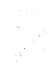 CC[C@@H]1C[C@]1(NC(=O)[C@@H]1C[C@@H]2CN1C(=O)[C@H](C1CCCCC1)NC1=NC(CCCCCc3cccc4c3CN(C4)C(=O)O2)CS1)C(=O)NS(=O)(=O)C1CC1